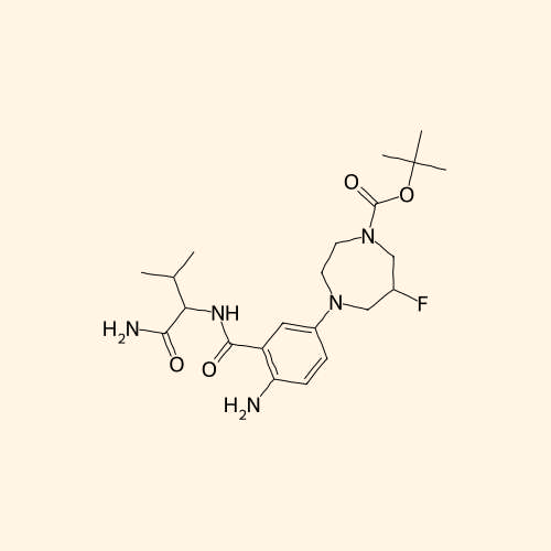 CC(C)C(NC(=O)c1cc(N2CCN(C(=O)OC(C)(C)C)CC(F)C2)ccc1N)C(N)=O